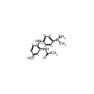 CC(=O)Nc1cc(O)ccc1Nc1ccc(N(C)C)cc1